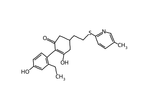 CCc1cc(O)ccc1C1=C(O)CC(CCSc2ccc(C)cn2)CC1=O